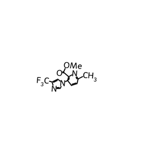 COC(=O)c1nc(C)ccc1-n1cnc(C(F)(F)F)c1